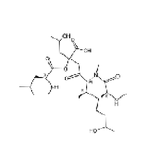 CN[C@@H](C)C(=O)N(C)[C@@H](C(=O)CC(CC(C)O)(OC(=O)[C@H](CC(C)C)NC)C(=O)O)[C@H](C)CCCC(C)O